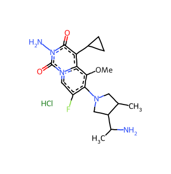 COc1c(N2CC(C)C(C(C)N)C2)c(F)cn2c(=O)n(N)c(=O)c(C3CC3)c12.Cl